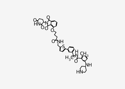 Cc1ccc(NC2CCNCC2)cc1C(=O)N[C@H](C)c1cccc(-c2ccc(CNC(=O)CCCOc3cccc4c3C(=O)N(C3CCC(=O)NC3=O)C4=O)s2)c1